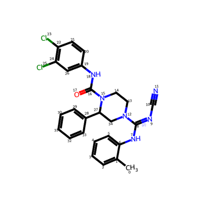 Cc1ccccc1N/C(=N/C#N)N1CCN(C(=O)Nc2ccc(Cl)c(Cl)c2)C(c2ccccc2)C1